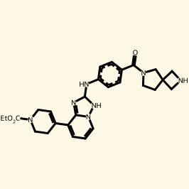 CCOC(=O)N1CC=C(C2=CC=CN3NC(Nc4ccc(C(=O)N5CCC6(CNC6)C5)cc4)N=C23)CC1